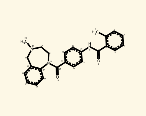 Cc1ccccc1C(=O)Nc1ccc(C(=O)N2CCN(C)Cc3ccccc32)cc1